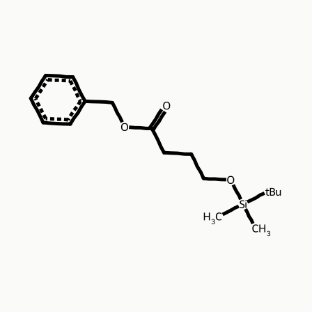 CC(C)(C)[Si](C)(C)OCCCC(=O)OCc1ccccc1